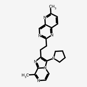 Cc1ccc2nc(CCc3nc4c(C)nccn4c3N3CCCC3)ncc2n1